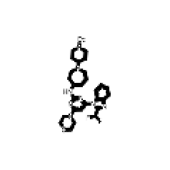 CCN1CCC(N2CCCC(Nc3nc(N4CCOCC4)cc(-n4c(C(F)F)nc5ccccc54)n3)CC2)CC1